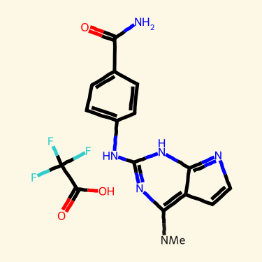 CNc1nc(Nc2ccc(C(N)=O)cc2)[nH]c2nccc1-2.O=C(O)C(F)(F)F